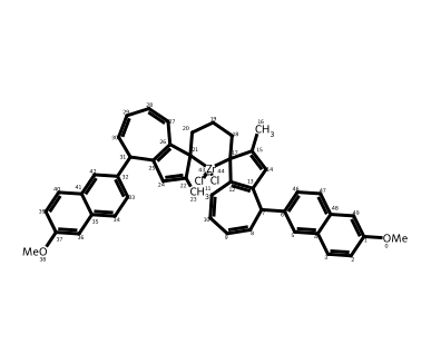 COc1ccc2cc(C3C=CC=CC4=C3C=C(C)[C]43CCC[C]4(C(C)=CC5=C4C=CC=CC5c4ccc5cc(OC)ccc5c4)[Zr]3([Cl])[Cl])ccc2c1